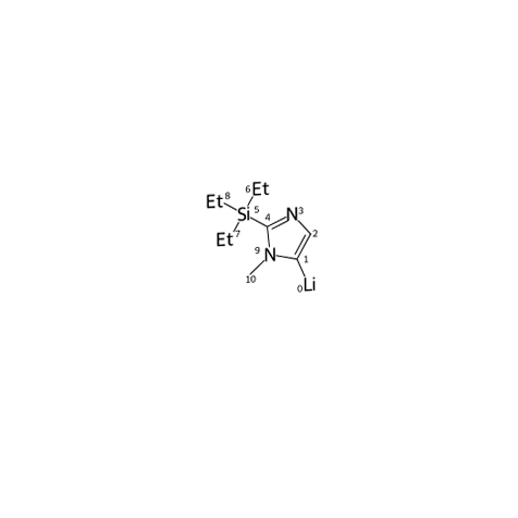 [Li][c]1cnc([Si](CC)(CC)CC)n1C